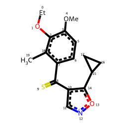 CCOc1c(OC)ccc(C(=S)c2cnoc2C2CC2)c1C